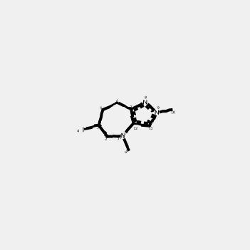 CN1CC(I)CCc2nn(C)cc21